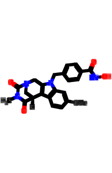 COc1ccc2c3c(n(Cc4ccc(C(=O)NO)cc4)c2c1)CN1C[C@H]3C(=O)N(C)C1=O